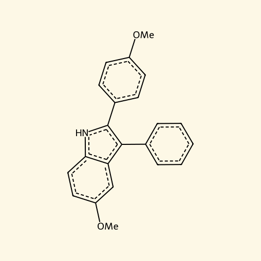 COc1ccc(-c2[nH]c3ccc(OC)cc3c2-c2ccccc2)cc1